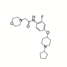 O=C(CN1CCOCC1)Nc1ccc(OC2CCN(C3CCCC3)CC2)cc1F